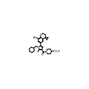 Cc1c(C(=O)N2CCC(C(=O)O)CC2)cc(-c2cc(C(C)(C)C)c3c(c2)C2(CCO3)CC2)n1CC1CCCCC1